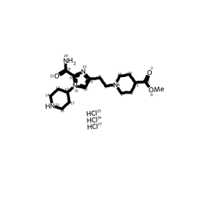 COC(=O)C1CCN(CCc2cn(C3CCNCC3)c(C(N)=O)n2)CC1.Cl.Cl.Cl